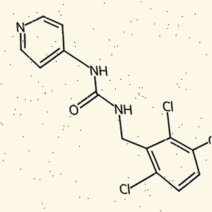 O=C(NCc1c(Cl)ccc(Cl)c1Cl)Nc1ccncc1